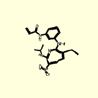 C=CC(=O)Nc1cccc(NC2=C(CC)CC=C([N+](=O)[O-])C(NC(C)C)=N2)c1